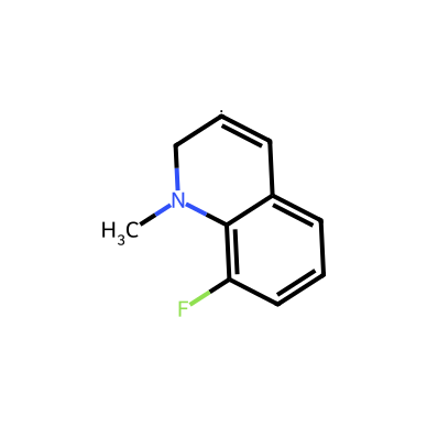 CN1C[C]=Cc2cccc(F)c21